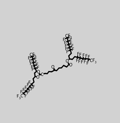 O=C(CCCCCC(=O)OC(CCC(F)(F)C(F)(F)C(F)(F)C(F)(F)C(F)(F)C(F)(F)F)CCC(F)(F)C(F)(F)C(F)(F)C(F)(F)C(F)(F)C(F)(F)F)CCCCCC(=O)OC(CCC(F)(F)C(F)(F)C(F)(F)C(F)(F)C(F)(F)C(F)(F)F)CCC(F)(F)C(F)(F)C(F)(F)C(F)(F)C(F)(F)C(F)(F)F